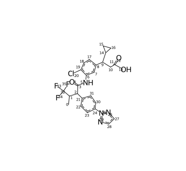 CC(C(C(=O)Nc1cc(C(CC(=O)O)C2CC2)ccc1Cl)c1ccc(-n2nccn2)cc1)C(F)(F)F